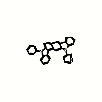 c1ccc(-n2c3ccccc3c3c4cc5c(cc4ccc32)c2ccccc2n5-c2cccnc2)cc1